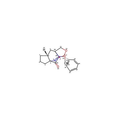 COC1=NC23CCC[C@@H]2CC12CO[C@H](c1ccccc1)N2C3=O